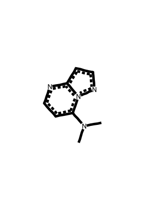 CN(C)c1ccnc2ccnn12